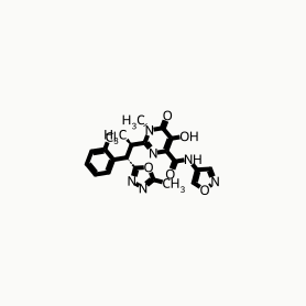 Cc1nnc([C@H](c2ccccc2Cl)[C@@H](C)c2nc(C(=O)Nc3cnoc3)c(O)c(=O)n2C)o1